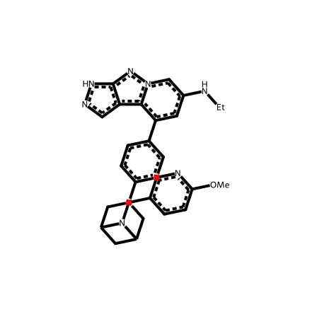 CCNc1cc(-c2ccc(N3CC4CC(C3)N4Cc3ccc(OC)nc3)nc2)c2c3cn[nH]c3nn2c1